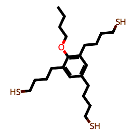 CCCCOc1c(CCCCS)cc(CCCCS)cc1CCCCS